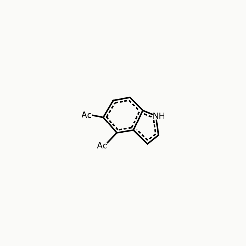 CC(=O)c1ccc2[nH]ccc2c1C(C)=O